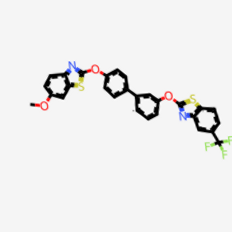 COc1ccc2nc(Oc3ccc(-c4[c]ccc(Oc5nc6cc(C(F)(F)F)ccc6s5)c4)cc3)sc2c1